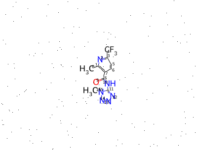 Cc1nc(C(F)(F)F)ccc1C(=O)Nc1nnnn1C